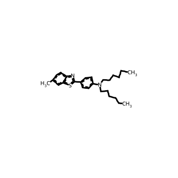 CCCCCCN(CCCCCC)c1ccc(-c2nc3ccc(C)cc3s2)cc1